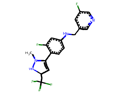 CN1NC(C(F)(F)F)C=C1c1ccc(NCc2cncc(F)c2)cc1F